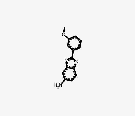 COc1cccc(-c2nc3cc(N)ccc3s2)c1